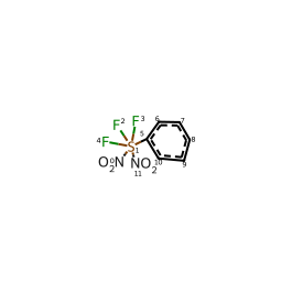 O=[N+]([O-])S(F)(F)(F)(c1ccccc1)[N+](=O)[O-]